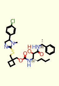 CCCC[C@H](NC(=O)OCC1(CSC2=NCC(c3ccc(Cl)cc3)N2C)CCC1)C(O)C(=O)N[C@H](C)c1ccccc1